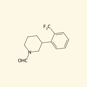 O=CN1CCCC(c2ccccc2C(F)(F)F)C1